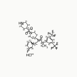 CN(C(=O)N(C)[C@@H]1CCN(S(=O)(=O)C2CCNCC2)C[C@H]1c1ccc(F)cc1)c1cc(C(F)(F)F)cc(C(F)(F)F)c1.Cl